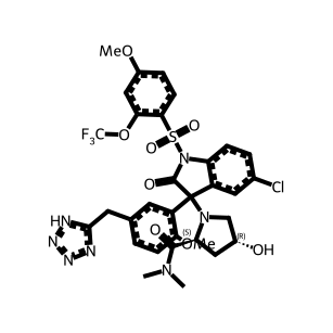 COc1ccc(S(=O)(=O)N2C(=O)C(c3cc(Cc4nnn[nH]4)ccc3OC)(N3C[C@H](O)C[C@H]3C(=O)N(C)C)c3cc(Cl)ccc32)c(OC(F)(F)F)c1